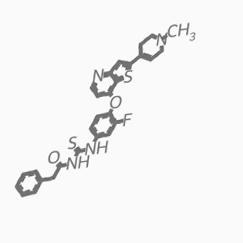 CN1CC=C(c2cc3nccc(Oc4ccc(NC(=S)NC(=O)Cc5ccccc5)cc4F)c3s2)CC1